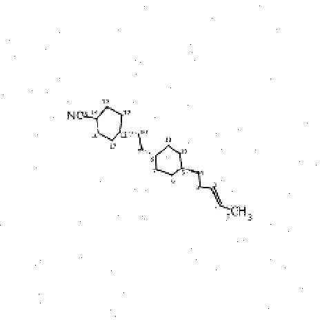 C/C=C/CC[C@H]1CC[C@H](CC[C@H]2CC[C@H](C#N)CC2)CC1